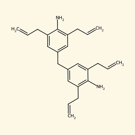 C=CCc1cc(Cc2cc(CC=C)c(N)c(CC=C)c2)cc(CC=C)c1N